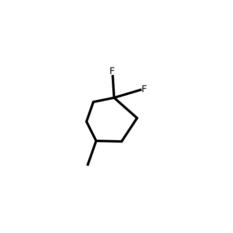 CC1CCC(F)(F)CC1